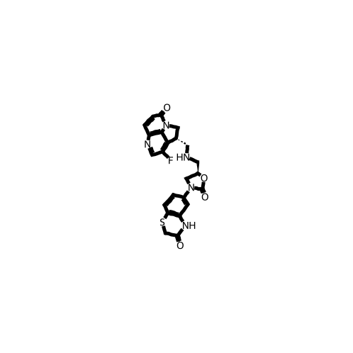 O=C1CSc2ccc(N3C[C@@H](CNC[C@H]4Cn5c(=O)ccc6ncc(F)c4c65)OC3=O)cc2N1